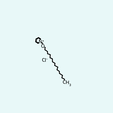 CCCCCCCCCCCCCCCCCCOC[n+]1ccccc1.[Cl-]